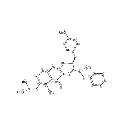 COc1ccc(C[C@H](Nc2nc3ccc(CN(C(=O)O)C(C)(C)C)c(C)c3c(=O)o2)C(=O)N(C)Cc2ccccc2)cc1